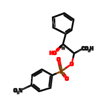 O=C(O)C(OS(=O)(=O)c1ccc([N+](=O)[O-])cc1)[C@@H](O)c1ccccc1